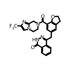 O=C(c1cc(Cc2n[nH]c(=O)c3ccccc23)cc2c1OCC2)N1CCn2cc(C(F)(F)F)nc2C1